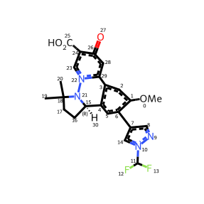 COc1cc2c(cc1-c1cnn(C(F)F)c1)[C@H]1CCC(C)(C)N1n1cc(C(=O)O)c(=O)cc1-2